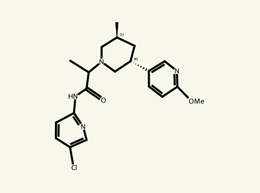 COc1ccc([C@H]2C[C@H](C)CN(C(C)C(=O)Nc3ccc(Cl)cn3)C2)cn1